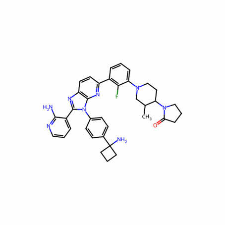 CC1CN(c2cccc(-c3ccc4nc(-c5cccnc5N)n(-c5ccc(C6(N)CCC6)cc5)c4n3)c2F)CCC1N1CCCC1=O